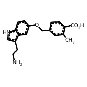 Cc1cc(COc2ccc3[nH]cc(CCN)c3c2)ccc1C(=O)O